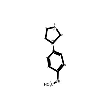 O=C(O)Nc1ccc([C@H]2CCNC2)cc1